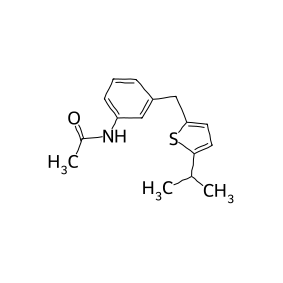 CC(=O)Nc1cccc(Cc2ccc(C(C)C)s2)c1